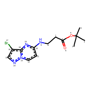 CC(C)(C)OC(=O)CCNc1ccn2ncc(Br)c2n1